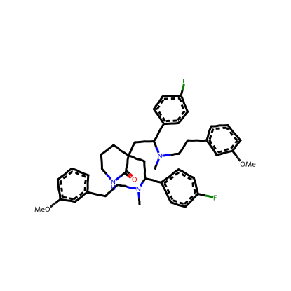 COc1cccc(CCN(C)C(CC2(CC(c3ccc(F)cc3)N(C)CCc3cccc(OC)c3)CCCNC2=O)c2ccc(F)cc2)c1